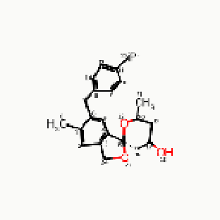 Cc1cc2c(cc1Cc1ccc(C(C)C)cc1)[C@]1(CC(O)CC(C)O1)OC2